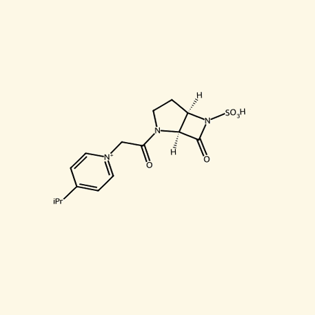 CC(C)c1cc[n+](CC(=O)N2CC[C@@H]3[C@H]2C(=O)N3S(=O)(=O)O)cc1